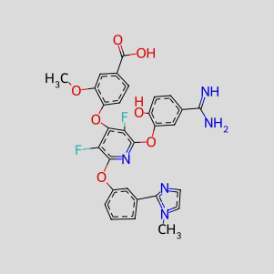 COc1cc(C(=O)O)ccc1Oc1c(F)c(Oc2cccc(-c3nccn3C)c2)nc(Oc2cc(C(=N)N)ccc2O)c1F